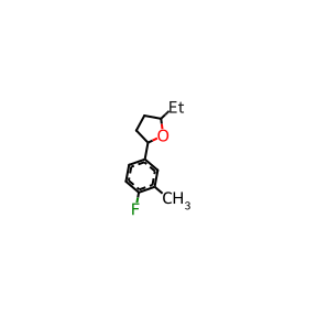 CCC1CCC(c2ccc(F)c(C)c2)O1